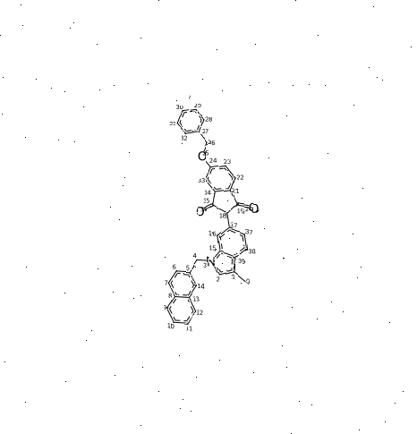 Cc1cn(Cc2ccc3ccccc3c2)c2cc(C3C(=O)c4ccc(OCc5ccccc5)cc4C3=O)ccc12